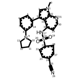 Cn1cc(-c2cccc(N3CCCC3)c2)c2c(NS(=O)(=O)c3ccc(C#N)cc3)ccnc21